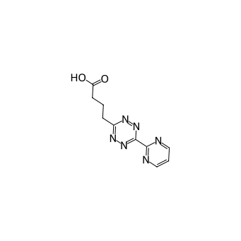 O=C(O)CCCc1nnc(-c2ncccn2)nn1